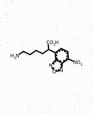 NCCCCC(C(=O)O)c1ccc([N+](=O)[O-])c2nonc12